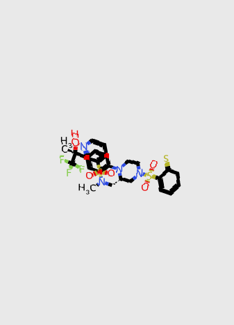 CN(C[C@H]1CN(S(=O)(=O)C2=CC=CCC2=S)CCN1c1ccc([C@@](C)(O)C(F)(F)F)cc1)S(=O)(=O)c1cccnc1